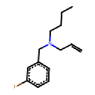 C=CCN(CCCC)Cc1cccc(Br)c1